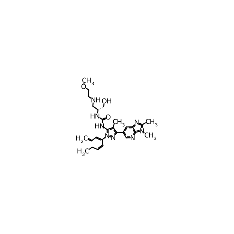 C=C/C=C(\C=C/CC)n1nc(-c2cnc3c(c2)nc(C)n3C)c(C)c1NC(=O)N[C@@H](CO)CNCCOC